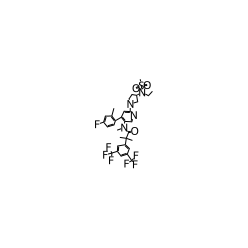 CCN([C@@H]1CCN(c2cc(-c3ccc(F)cc3C)c(N(C)C(=O)C(C)(C)c3cc(C(F)(F)F)cc(C(F)(F)F)c3)cn2)C1)S(C)(=O)=O